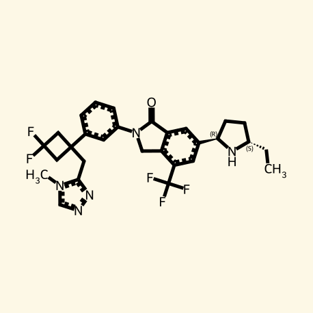 CC[C@H]1CC[C@H](c2cc3c(c(C(F)(F)F)c2)CN(c2cccc(C4(Cc5nncn5C)CC(F)(F)C4)c2)C3=O)N1